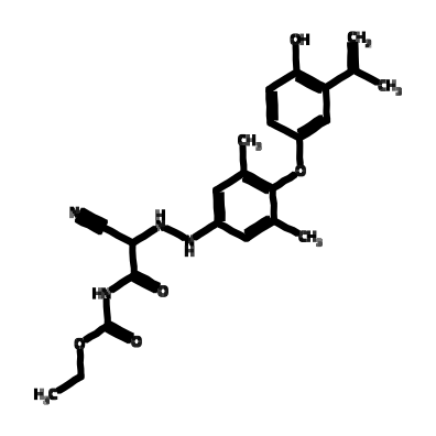 C=C(C)c1cc(Oc2c(C)cc(NNC(C#N)C(=O)NC(=O)OCC)cc2C)ccc1O